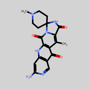 Cc1c2n(c(=O)c3[nH]c4cc(N)ncc4c(=O)c13)C1(CCN(C)CC1)NC2=O